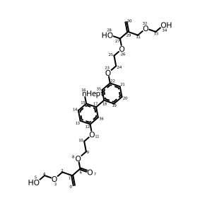 C=C(COCO)C(=O)OCCOc1ccc(CCCCCCC)c(-c2cccc(OCCOC(O)C(=C)COCO)c2)c1